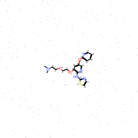 CN(C)CCOCCOc1cc(Oc2ccccn2)cnc1Nc1nccs1